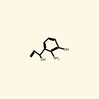 C=CC(O)c1cccc(O)c1N